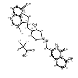 O=C(O)C(F)(F)F.O=c1[nH]c(CNC2CCN(C[C@]3(O)Cn4c(=O)ccc5ncc(F)c3c54)CC2)cc2cccc(O)c12